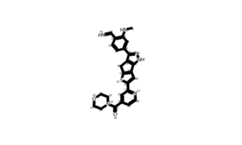 CNc1cc(-c2n[nH]c3c2Cc2sc(-c4cc(C(=O)N5CCOCC5)ccn4)cc2-3)ccc1C=N